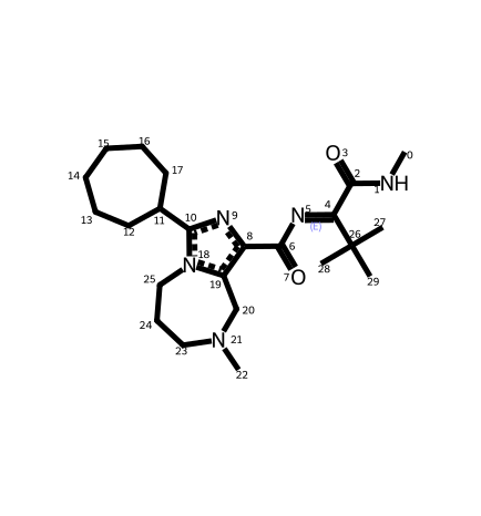 CNC(=O)/C(=N/C(=O)c1nc(C2CCCCCC2)n2c1CN(C)CCC2)C(C)(C)C